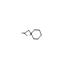 NC1CC2(CCCCC2)N1